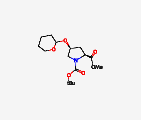 COC(=O)[C@@H]1C[C@H](OC2CCCCO2)CN1C(=O)OC(C)(C)C